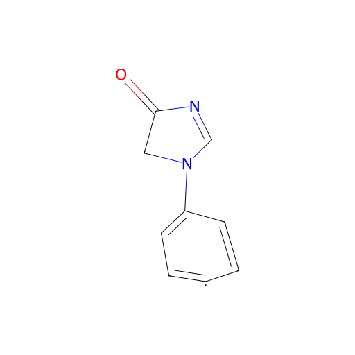 O=C1CN(c2cc[c]cc2)C=N1